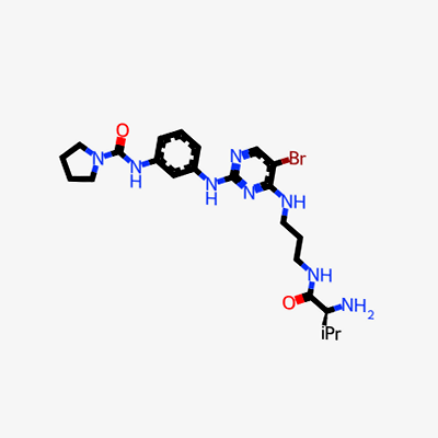 CC(C)[C@H](N)C(=O)NCCCNc1nc(Nc2cccc(NC(=O)N3CCCC3)c2)ncc1Br